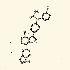 NC(=O)N(c1ccc(-c2csc3c(-c4ccc5[nH]ccc5c4)cnc(N)c23)cc1)c1cccc(Cl)c1